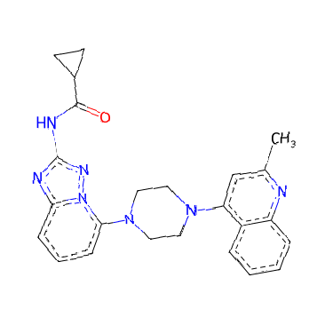 Cc1cc(N2CCN(c3cccc4nc(NC(=O)C5CC5)nn34)CC2)c2ccccc2n1